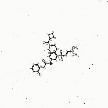 CN(C)/C=N/S(=O)(=O)c1cc(NC(=O)Cc2ccccc2Cl)cc2c1CCN(C(=O)C1CCC1)C2